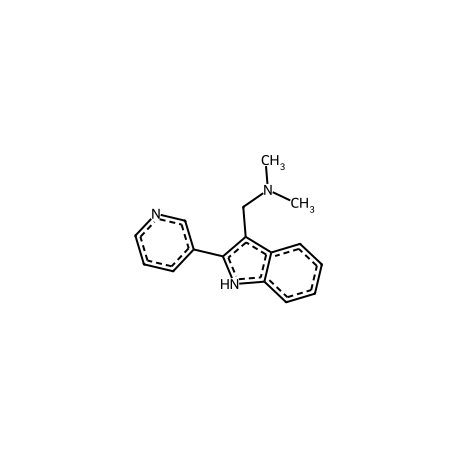 CN(C)Cc1c(-c2cccnc2)[nH]c2ccccc12